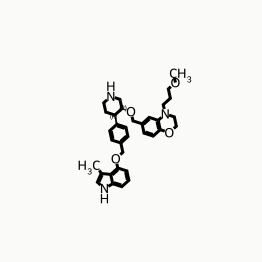 COCCCN1CCOc2ccc(CO[C@H]3CNCC[C@@H]3c3ccc(COc4cccc5[nH]cc(C)c45)cc3)cc21